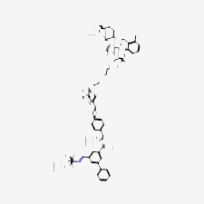 Cc1cccc(NC(=O)COCCOCCn2cc(COc3ccc(CNC(=O)c4cc(/C=C/C(=O)O)cc(-c5ccccc5)c4)cc3)nn2)c1CN(C=O)C1CCC(=O)NC1=O